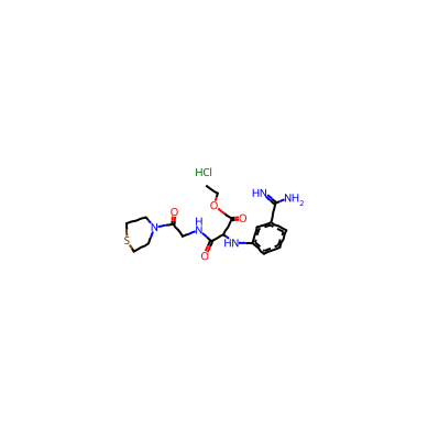 CCOC(=O)C(Nc1cccc(C(=N)N)c1)C(=O)NCC(=O)N1CCSCC1.Cl